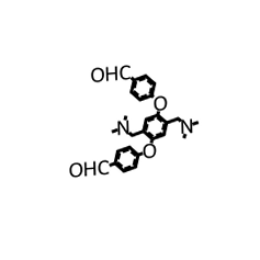 CN(C)Cc1cc(Oc2ccc(C=O)cc2)c(CN(C)C)cc1Oc1ccc(C=O)cc1